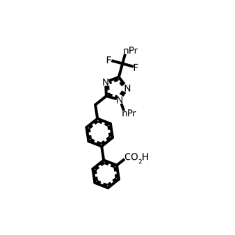 CCCn1nc(C(F)(F)CCC)nc1Cc1ccc(-c2ccccc2C(=O)O)cc1